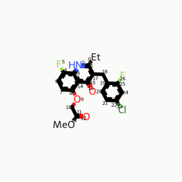 CCc1[nH]c2c(F)ccc(OCC(=O)OC)c2c(=O)c1Cc1ccc(Cl)cc1F